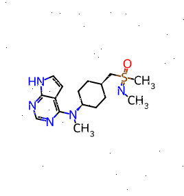 CN=S(C)(=O)C[C@H]1CC[C@@H](N(C)c2ncnc3[nH]ccc23)CC1